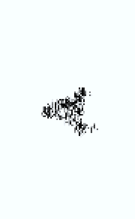 COC(=O)NC[C@H]1[C@@H](O)[C@H](n2c[n+](C)c3c(=O)[nH]c(N)nc32)O[C@@H]1COP(=O)(O)OP(=O)(O)OP(=O)(O)OC[C@H]1O[C@@H](n2cnc3c(N)ncnc32)[C@H](OC)[C@@H]1OP(=O)([O-])OC[C@H]1O[C@@H](n2cnc3c(=O)[nH]c(N)nc32)[C@H](O)[C@@H]1O